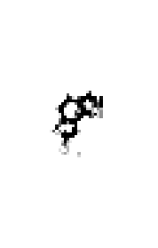 Cc1cc2c(s1)CCc1cn[nH]c1-2